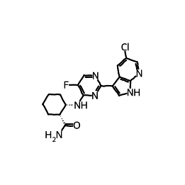 NC(=O)[C@@H]1CCCC[C@@H]1Nc1nc(-c2c[nH]c3ncc(Cl)cc23)ncc1F